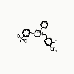 CS(=O)(=O)c1cccc(N2CCN(Cc3ccc(C(F)(F)F)c(F)c3)[C@H](c3ccccc3)C2)c1